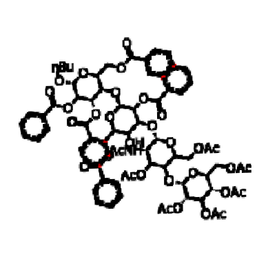 CCCCO[C@@H]1OC(COC(=O)c2ccccc2)[C@@H](O[C@@H]2OC(COC(=O)c3ccccc3)[C@H](O)C(O[C@@H]3OC(COC(C)=O)[C@@H](O[C@@H]4OC(COC(C)=O)[C@H](OC(C)=O)C(OC(C)=O)[C@@H]4OC(C)=O)C(OC(C)=O)[C@@H]3NC(C)=O)[C@@H]2OC(=O)c2ccccc2)[C@H](OC(=O)c2ccccc2)C1OC(=O)c1ccccc1